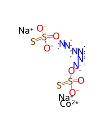 O=S([O-])([O-])=S.O=S([O-])([O-])=S.[Co+2].[N].[N].[N].[N].[N].[N].[Na+].[Na+]